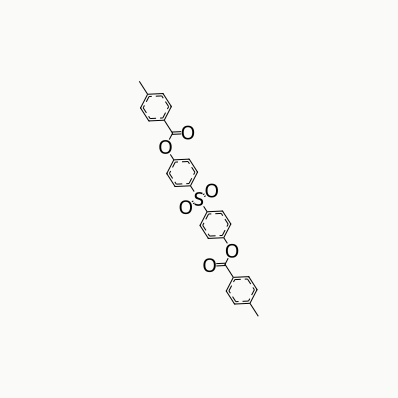 Cc1ccc(C(=O)Oc2ccc(S(=O)(=O)c3ccc(OC(=O)c4ccc(C)cc4)cc3)cc2)cc1